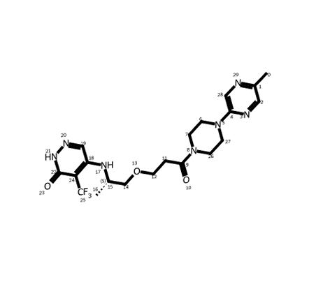 Cc1cnc(N2CCN(C(=O)CCOC[C@H](C)Nc3cn[nH]c(=O)c3C(F)(F)F)CC2)cn1